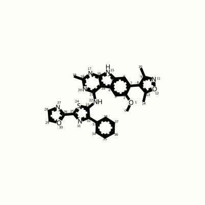 COc1cc2c(cc1-c1c(C)noc1C)[nH]c1nc(C)nc(Nc3sc(-c4ncco4)nc3-c3ccccc3)c12